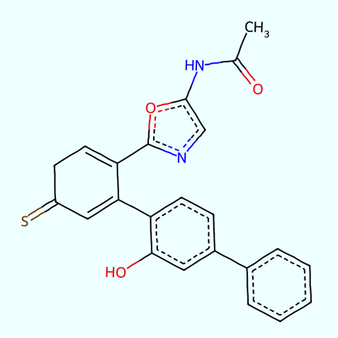 CC(=O)Nc1cnc(C2=CCC(=S)C=C2c2ccc(-c3ccccc3)cc2O)o1